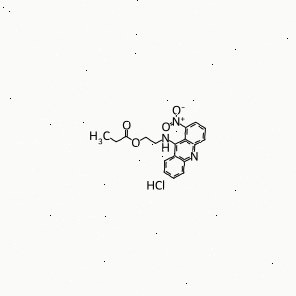 CCC(=O)OCCNc1c2ccccc2nc2cccc([N+](=O)[O-])c12.Cl